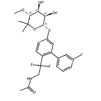 CO[C@@H]1[C@@H](O)[C@@H](O)[C@H](Oc2ccc(C(F)(F)CNC(C)=O)c(-c3cccc(F)c3)c2)OC1(C)C